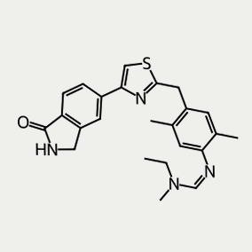 CCN(C)/C=N\c1cc(C)c(Cc2nc(-c3ccc4c(c3)CNC4=O)cs2)cc1C